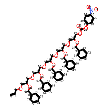 C=CCOCC(COCC(COCC(COCC(COCC(COC(=O)Oc1ccc([N+](=O)[O-])cc1)OCc1ccccc1)OCc1ccccc1)OCc1ccccc1)OCc1ccccc1)OCc1ccccc1